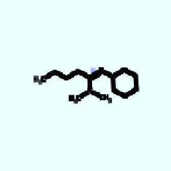 CCCC/C(=N/C1CCCCC1)N(C)C